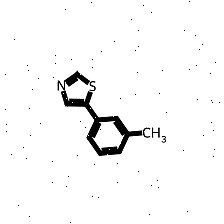 Cc1cccc(-c2cn[c]s2)c1